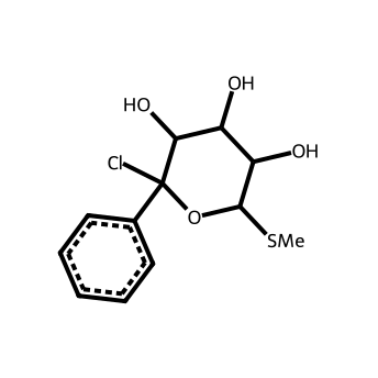 CSC1OC(Cl)(c2ccccc2)C(O)C(O)C1O